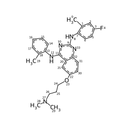 Cc1cc(F)ccc1Nc1nc(Nc2ccccc2C)c2cc(OCCCN(C)C)ccc2n1